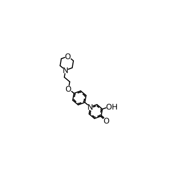 O=c1ccn(-c2ccc(OCCN3CCOCC3)cc2)cc1O